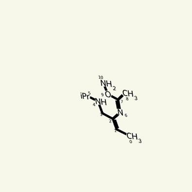 C/C=C(CNC(C)C)\N=C(\C)ON